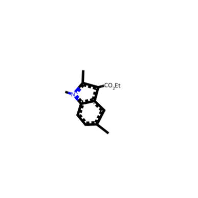 CCOC(=O)c1c(C)n(C)c2ccc(C)cc12